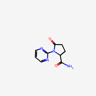 NC(=O)C1CCC(=O)N1c1ncccn1